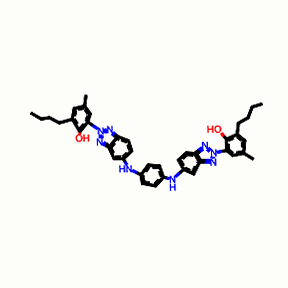 CCCCc1cc(C)cc(-n2nc3ccc(Nc4ccc(Nc5ccc6nn(-c7cc(C)cc(CCCC)c7O)nc6c5)cc4)cc3n2)c1O